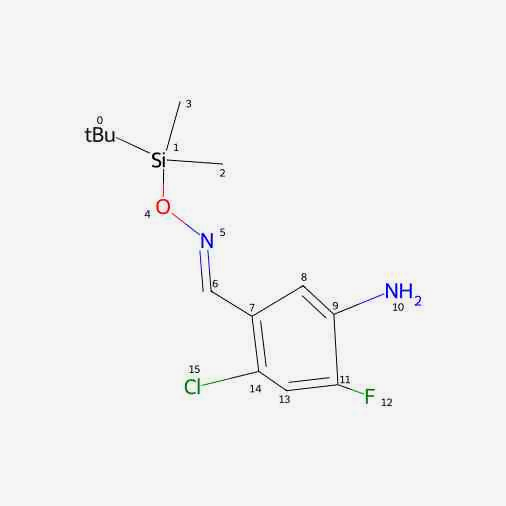 CC(C)(C)[Si](C)(C)O/N=C/c1cc(N)c(F)cc1Cl